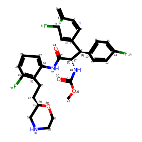 C=C(F)/C=C\C(=C/CF)[C@@H](c1ccc(F)cc1)[C@H](NC(=O)OC)C(=O)Nc1cccc(F)c1CC[C@@H]1CNCCO1